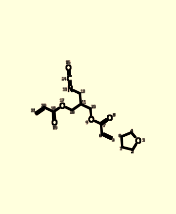 C1CCOC1.C=CC(=O)OCC(CN=C=O)COC(=O)C=C